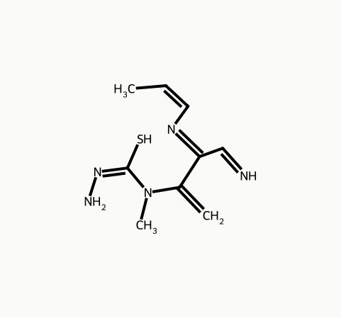 C=C(/C(C=N)=N/C=C\C)N(C)/C(S)=N\N